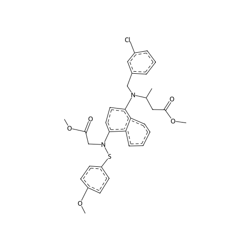 COC(=O)CC(C)N(Cc1cccc(Cl)c1)c1ccc(N(CC(=O)OC)Sc2ccc(OC)cc2)c2ccccc12